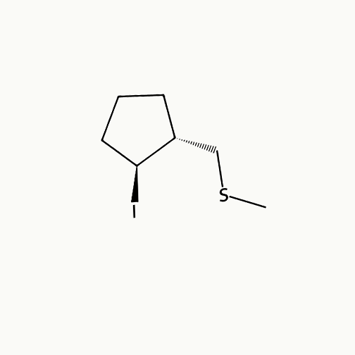 CSC[C@H]1CCC[C@@H]1I